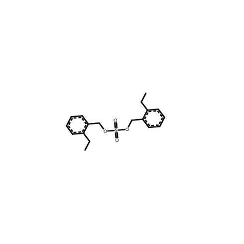 CCc1ccccc1COS(=O)(=O)OCc1ccccc1CC